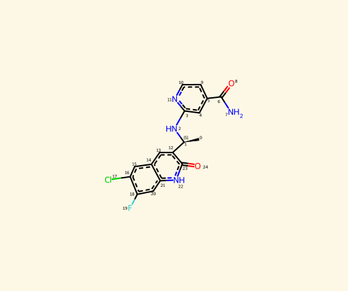 C[C@H](Nc1cc(C(N)=O)ccn1)c1cc2cc(Cl)c(F)cc2[nH]c1=O